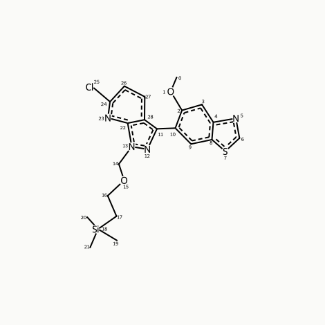 COc1cc2ncsc2cc1-c1nn(COCC[Si](C)(C)C)c2nc(Cl)ccc12